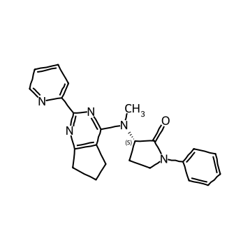 CN(c1nc(-c2ccccn2)nc2c1CCC2)[C@H]1CCN(c2ccccc2)C1=O